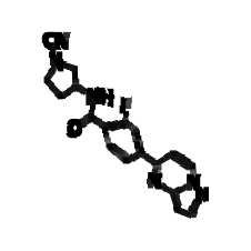 N#CN1CCC(NC(=O)c2ccc(-c3ccn4nccc4n3)cc2F)C1